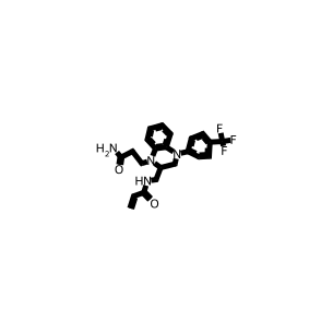 C=CC(=O)NCC1CN(c2ccc(C(F)(F)F)cc2)c2ccccc2N1CCC(N)=O